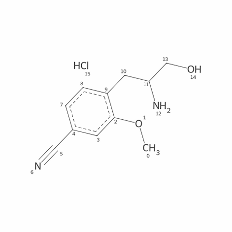 COc1cc(C#N)ccc1CC(N)CO.Cl